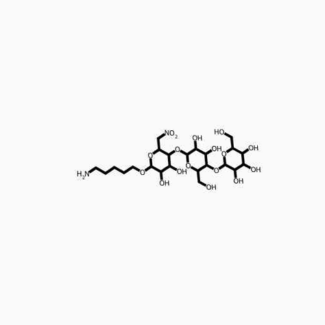 NCCCCCOC1OC(C[N+](=O)[O-])C(OC2OC(CO)C(OC3OC(CO)C(O)C(O)C3O)C(O)C2O)C(O)C1O